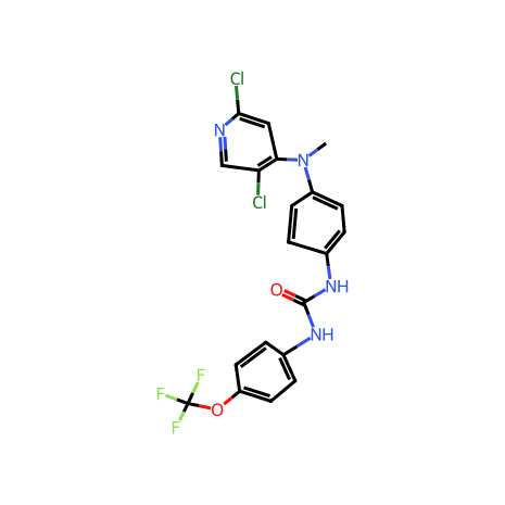 CN(c1ccc(NC(=O)Nc2ccc(OC(F)(F)F)cc2)cc1)c1cc(Cl)ncc1Cl